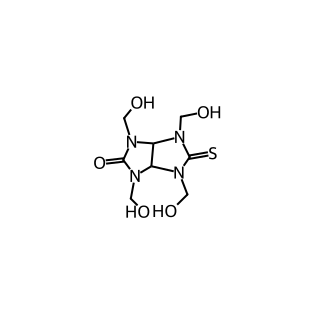 O=C1N(CO)C2C(N1CO)N(CO)C(=S)N2CO